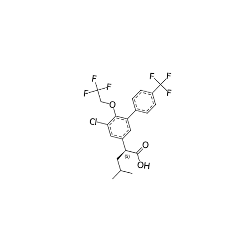 CC(C)C[C@H](C(=O)O)c1cc(Cl)c(OCC(F)(F)F)c(-c2ccc(C(F)(F)F)cc2)c1